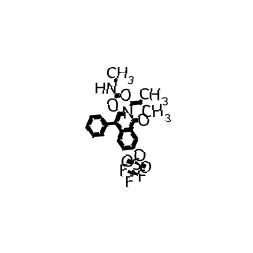 CCNC(=O)Oc1c(-c2ccccc2)c2ccc(OS(=O)(=O)C(F)(F)F)cc2c(=O)n1CC(C)C